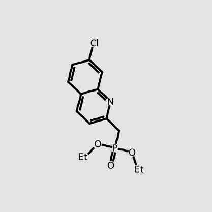 CCOP(=O)(Cc1ccc2ccc(Cl)cc2n1)OCC